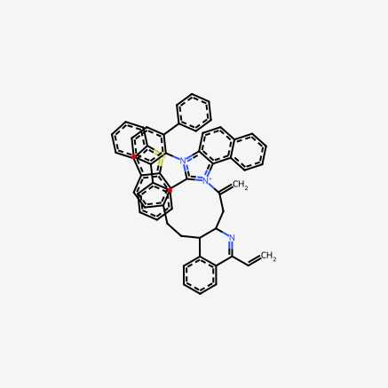 C=CC1=NC2CC(=C)[n+]3c(n(-c4c(-c5ccccc5)cccc4-c4ccccc4)c4ccc5ccccc5c43)-c3c(ccc4c3sc3ccccc34)CCC2c2ccccc21